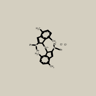 Cc1ccc(C)c2c1C=C(P(C(C)C)C(C)C)[CH]2[Zr+2][CH]1C(P(C(C)C)C(C)C)=Cc2c(C)ccc(C)c21.[Cl-].[Cl-]